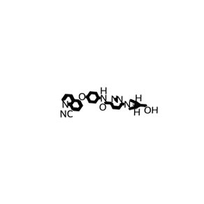 N#Cc1ccc(OC2CCC(NC(=O)c3ccc(N4C[C@@H]5C(CO)[C@@H]5C4)nn3)CC2)c2cccnc12